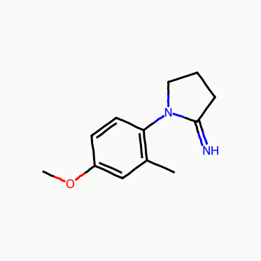 COc1ccc(N2CCCC2=N)c(C)c1